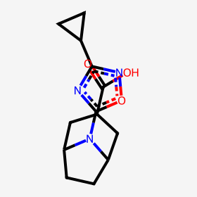 O=C(O)C1CC2CCC(C1)N2c1nc(C2CC2)no1